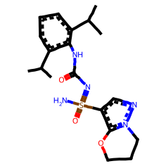 CC(C)c1cccc(C(C)C)c1NC(=O)N=S(N)(=O)c1cnn2c1OCCC2